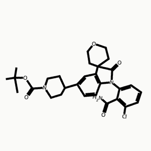 CC(C)(C)OC(=O)N1CCC(c2ccc3c(c2)C2(CCOCC2)C(=O)N3c2cccc(Cl)c2C(N)=O)CC1